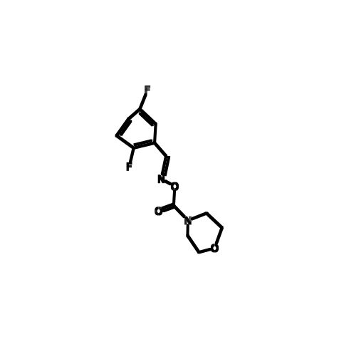 O=C(ON=Cc1cc(F)ccc1F)N1CCOCC1